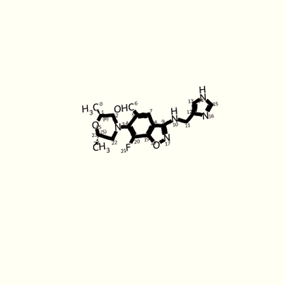 C[C@@H]1CN(c2c(C=O)cc3c(NCc4c[nH]cn4)noc3c2F)C[C@H](C)O1